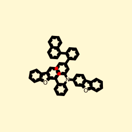 c1cc(-c2ccccc2-c2cccc3ccccc23)cc(N(c2ccc3c(c2)oc2ccccc23)c2ccccc2-c2cccc3c2oc2ccccc23)c1